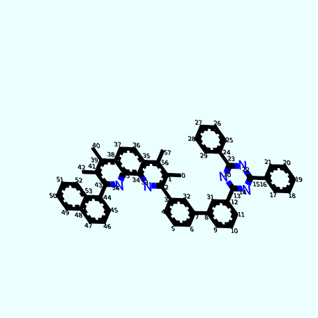 Cc1c(-c2cccc(-c3cccc(-c4nc(-c5ccccc5)nc(-c5ccccc5)n4)c3)c2)nc2c(ccc3c(C)c(C)c(-c4cccc5ccccc45)nc32)c1C